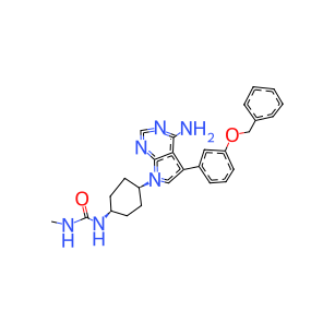 CNC(=O)N[C@H]1CC[C@@H](n2cc(-c3cccc(OCc4ccccc4)c3)c3c(N)ncnc32)CC1